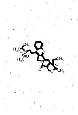 C=C1OCc2c(cc3n(c2=O)Cc2c-3nc3ccccc3c2CCN(C(C)C)S(C)(=O)=O)[C@@]1(O)CC